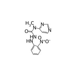 CN(C(=O)NNc1ccccc1[N+](=O)[O-])c1ccncn1